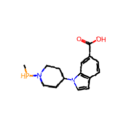 CPN1CCC(n2ccc3ccc(C(=O)O)cc32)CC1